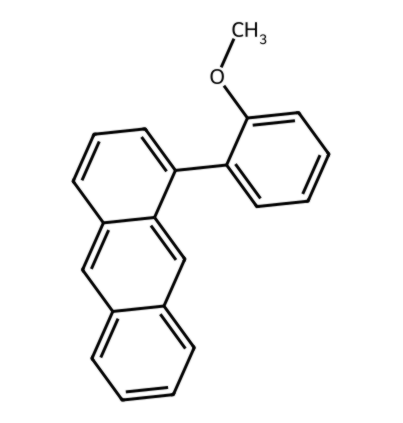 COc1ccccc1-c1cccc2cc3ccccc3cc12